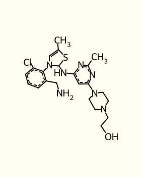 CC1=CN(c2c(Cl)cccc2CN)C(Nc2cc(N3CCN(CCO)CC3)nc(C)n2)S1